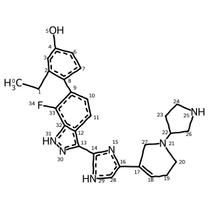 CCc1cc(O)ccc1-c1ccc2c(-c3nc(C4=CCCN(C5CCNC5)C4)c[nH]3)n[nH]c2c1F